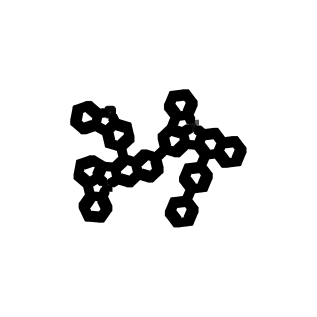 c1ccc(-c2ccc(-c3c4ccccc4cc4c3c3cc(-c5ccc6cc7c(c(-c8ccc9oc%10ccccc%10c9c8)c6c5)c5cccc6c8ccccc8n7c65)cc5c6ccccc6n4c53)cc2)cc1